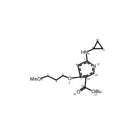 COCCCOc1cc(NC2CC2)ncc1C(=O)OCC(C)C